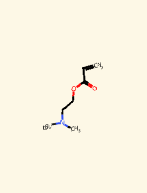 C=CC(=O)OCCN(C)C(C)(C)C